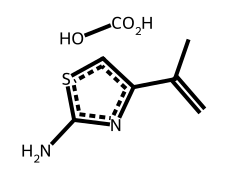 C=C(C)c1csc(N)n1.O=C(O)O